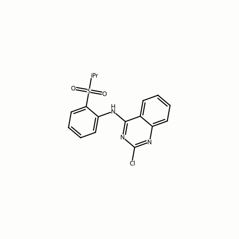 CC(C)S(=O)(=O)c1ccccc1Nc1nc(Cl)nc2ccccc12